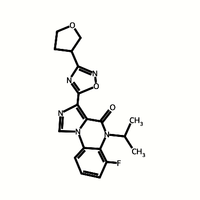 CC(C)n1c(=O)c2c(-c3nc(C4CCOC4)no3)ncn2c2cccc(F)c21